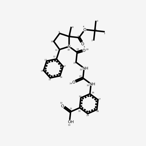 CC(C)(C)OC(=O)C1(C)CCC(c2ccccc2)N1C(=O)CNC(=O)Nc1cccc(C(=O)O)c1